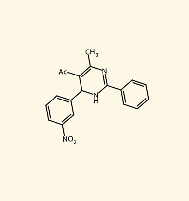 CC(=O)C1=C(C)N=C(c2ccccc2)NC1c1cccc([N+](=O)[O-])c1